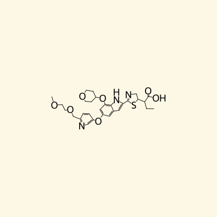 CCC(C(=O)O)C1CN=C(c2cc3cc(Oc4ccc(COCCOC)nc4)cc(OC4CCOCC4)c3[nH]2)S1